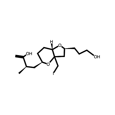 C=C(O)[C@H](C)C[C@H]1CC[C@@H]2O[C@@H](CCCO)CC2(CI)O1